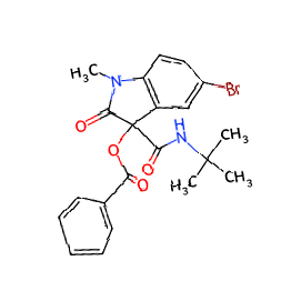 CN1C(=O)C(OC(=O)c2ccccc2)(C(=O)NC(C)(C)C)c2cc(Br)ccc21